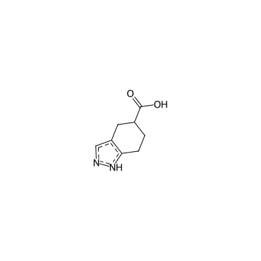 O=C(O)C1CCc2[nH]ncc2C1